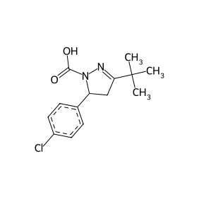 CC(C)(C)C1=NN(C(=O)O)C(c2ccc(Cl)cc2)C1